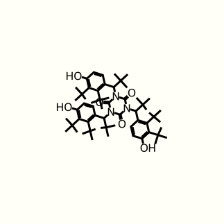 CC(C)(C)c1c(O)ccc(C(n2c(=O)n(C(c3ccc(O)c(C(C)(C)C)c3C(C)(C)C)C(C)(C)C)c(=O)n(C(c3ccc(O)c(C(C)(C)C)c3C(C)(C)C)C(C)(C)C)c2=O)C(C)(C)C)c1C(C)(C)C